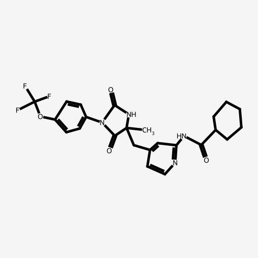 CC1(Cc2ccnc(NC(=O)C3CCCCC3)c2)NC(=O)N(c2ccc(OC(F)(F)F)cc2)C1=O